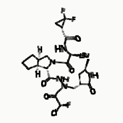 C[C@@H]1C[C@@H](CN(NC(=O)[C@@H]2[C@H]3CCC[C@H]3CN2C(=O)[C@@H](NC(=O)[C@@H]2CC2(F)F)C(C)(C)C)C(=O)[C@@H](F)Cl)C(=O)N1